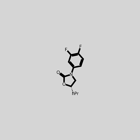 CCC[C@H]1CN(c2ccc(F)c(F)c2)C(=O)O1